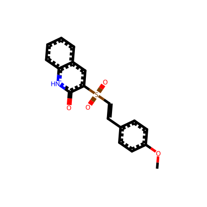 COc1ccc(C=CS(=O)(=O)c2cc3ccccc3[nH]c2=O)cc1